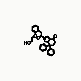 O=C1CCC(c2ccccc2)(c2ccccc2)C2CN(C(=O)Cc3ccccc3OCCO)CC12